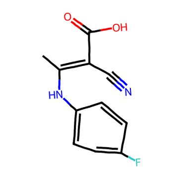 CC(Nc1ccc(F)cc1)=C(C#N)C(=O)O